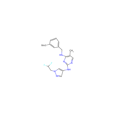 CSc1cccc(CNc2nc(Nc3cnn(CC(F)F)c3)ncc2C)c1